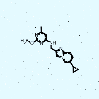 BOc1nc(C)cc(NCc2cn3cc(C4CC4)ccc3n2)n1